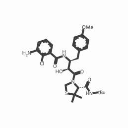 COc1ccc(C[C@H](NC(=O)c2cccc(N)c2Cl)[C@H](O)C(=O)N2CSC(C)(C)[C@H]2C(=O)NC(C)(C)C)cc1